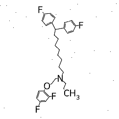 CCCN(CCCCCCCCC(c1ccc(F)cc1)c1ccc(F)cc1)CCOc1ccc(F)cc1F